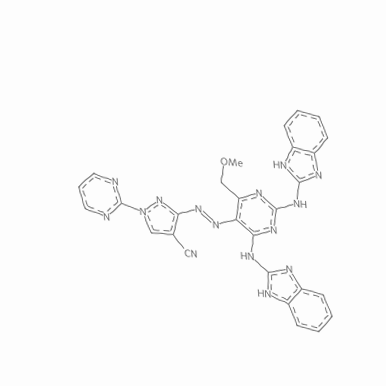 COCc1nc(Nc2nc3ccccc3[nH]2)nc(Nc2nc3ccccc3[nH]2)c1N=Nc1nn(-c2ncccn2)cc1C#N